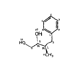 C[C@H](Cc1ccccc1)[C@@H](O)CO